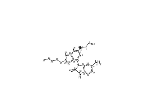 C=CCNc1nc(C2C(=O)Nc3ccc(N)cc32)c2cn(CCCCC)nc2n1